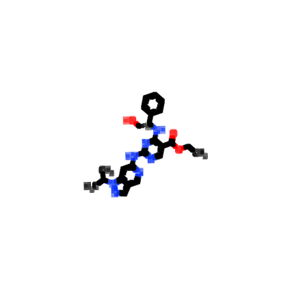 CCOC(=O)c1cnc(Nc2cc3c(cn2)cnn3C(C)C)nc1N[C@H](CO)c1ccccc1